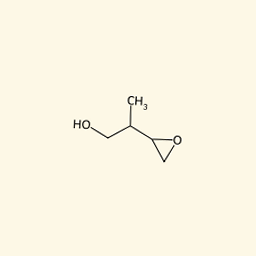 CC(CO)C1CO1